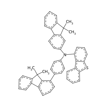 CC1(C)c2ccccc2-c2ccc(N(c3ccc(-c4cccc5c4C(C)(C)c4ccccc4-5)cc3)c3cccc4sc5ccccc5c34)cc21